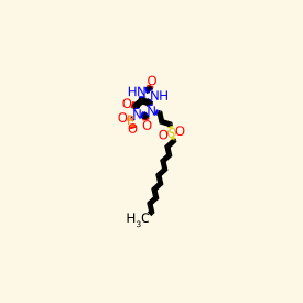 CCCCCCCCCCCCS(=O)(=O)CCCn1c(=O)n(P(=O)=O)c(=O)c2[nH]c(=O)[nH]c21